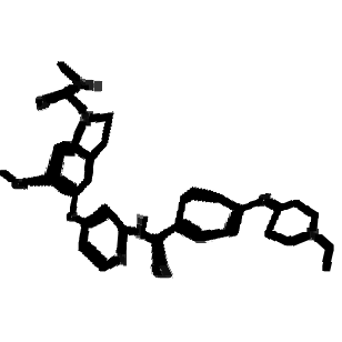 CCN1CCC(Oc2ccc(C(=O)Nc3cc(Oc4cc5c(cc4OC)N(C(=O)NC)CC5)ccn3)cc2)CC1